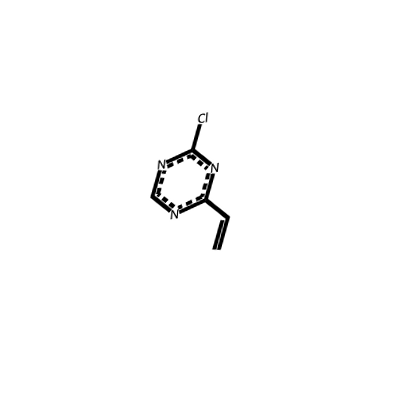 C=Cc1ncnc(Cl)n1